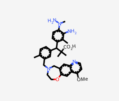 COc1ccnc2cc3c(cc12)OCCN(Cc1cc(C(c2ccc(N(C)N)c(N)c2C)C(C)(C)C(=O)O)ccc1C)C3